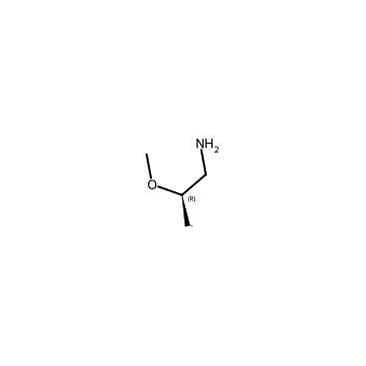 [CH2][C@H](CN)OC